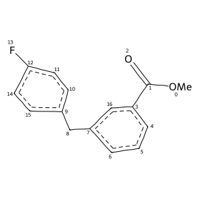 COC(=O)c1cccc(Cc2ccc(F)cc2)c1